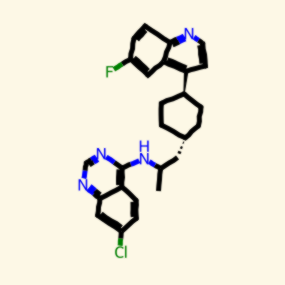 CC(C[C@H]1CC[C@H](c2ccnc3ccc(F)cc32)CC1)Nc1ncnc2cc(Cl)ccc12